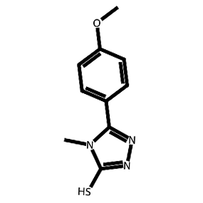 COc1ccc(-c2nnc(S)n2C)cc1